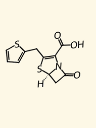 O=C(O)C1=C(Cc2cccs2)S[C@@H]2CC(=O)N12